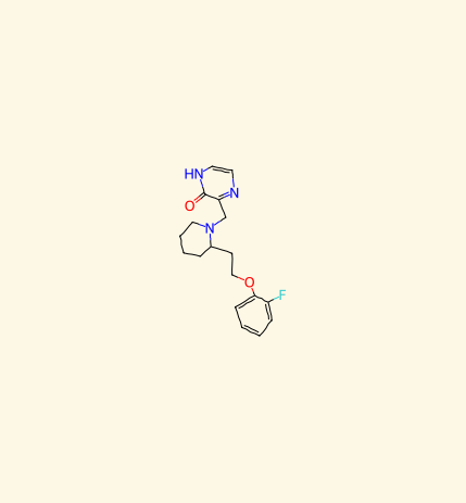 O=c1[nH]ccnc1CN1CCCCC1CCOc1ccccc1F